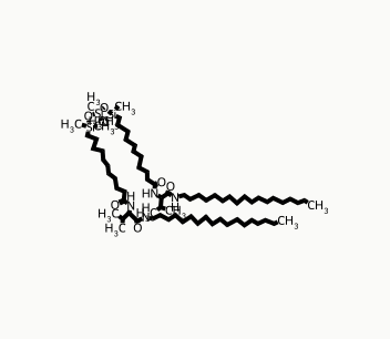 CCCCCCCCCCCCCCCCCCNC(=O)C(NC(=O)CCCCCCCCCC[Si](C)(C)O[Si](C)(C)O[Si](C)(C)CCCCCCCCCCC(=O)NC(C(=O)NCCCCCCCCCCCCCCCCCC)C(C)C)C(C)C